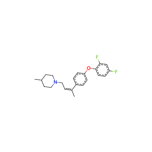 CC(=CCN1CCC(C)CC1)c1ccc(Oc2ccc(F)cc2F)cc1